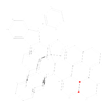 C1=CC2(c3cccc4c3ccc3ccccc34)C(=C1)C2N(c1ccccc1-c1ccc2c(c1)c1ccccc1n2-c1ccccc1)c1ccccc1-c1cccc2cccc(C3CCCCC3)c12